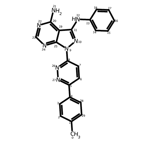 Cc1ccc(-c2ccc(-n3nc(Nc4ccccc4)c4c(N)ncnc43)nn2)cc1